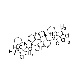 CC(Cl)C(C)(C)C(=O)N(c1ccc(F)[c]([Ti]([C]2=CC=CC2)([C]2=CC=CC2)[c]2c(F)ccc(N(C(=O)C(C)(C)C(C)Cl)C3CCCCC3)c2F)c1F)C1CCCCC1